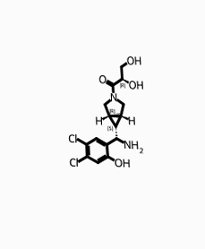 NC(c1cc(Cl)c(Cl)cc1O)[C@@H]1[C@@H]2CN(C(=O)[C@H](O)CO)C[C@@H]21